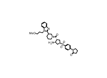 COCCCn1c(C2CCCN(C(=O)[C@@H]3CN(S(=O)(=O)c4ccc(N5CCCC5=O)cc4)C[C@H]3N)C2)nc2ccccc21